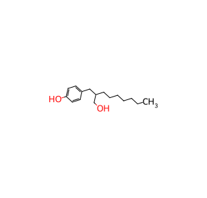 CCCCCCCC(CO)Cc1ccc(O)cc1